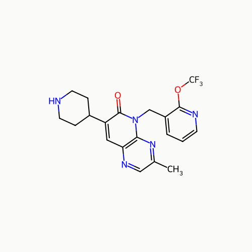 Cc1cnc2cc(C3CCNCC3)c(=O)n(Cc3cccnc3OC(F)(F)F)c2n1